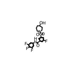 O=C(Nc1cc(F)c(F)c(F)c1)c1cc(F)cc(S(=O)(=O)N2CCCC(O)CC2)c1